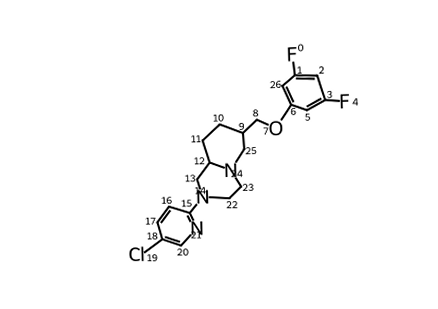 Fc1cc(F)cc(OCC2CCC3CN(c4ccc(Cl)cn4)CCN3C2)c1